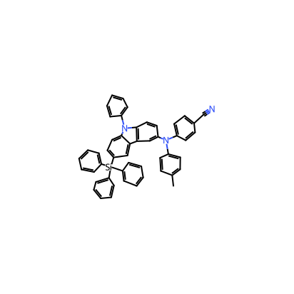 Cc1ccc(N(c2ccc(C#N)cc2)c2ccc3c(c2)c2cc([Si](c4ccccc4)(c4ccccc4)c4ccccc4)ccc2n3-c2ccccc2)cc1